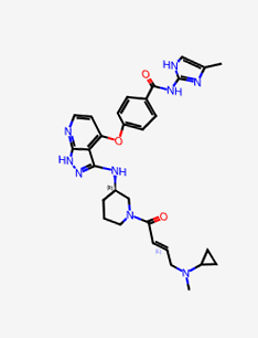 Cc1c[nH]c(NC(=O)c2ccc(Oc3ccnc4[nH]nc(N[C@@H]5CCCN(C(=O)/C=C/CN(C)C6CC6)C5)c34)cc2)n1